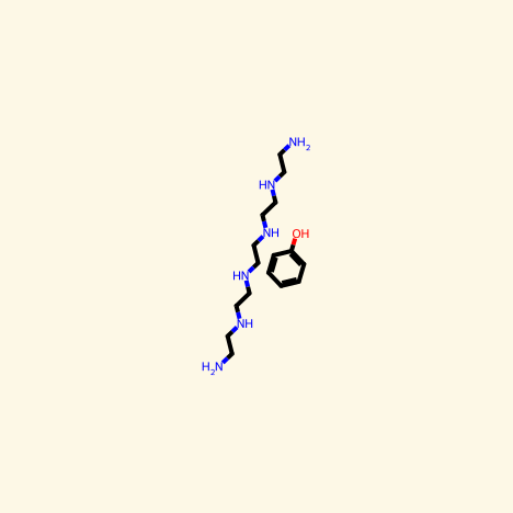 NCCNCCNCCNCCNCCN.Oc1ccccc1